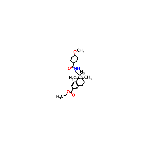 CCOC(=O)c1ccc2c(c1)CCC(C)(C)C2(C)CCNC(=O)C1CCC(OC)CC1